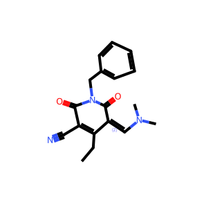 CCC1=C(C#N)C(=O)N(Cc2ccccc2)C(=O)/C1=C\N(C)C